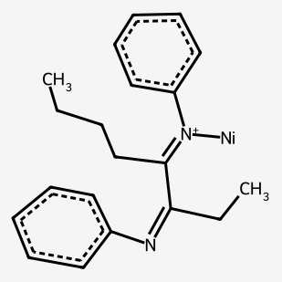 CCCCC(C(CC)=Nc1ccccc1)=[N+]([Ni])c1ccccc1